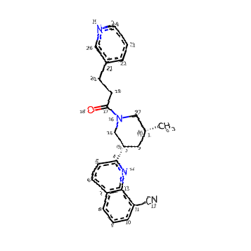 C[C@@H]1C[C@H](c2ccc3cccc(C#N)c3n2)CN(C(=O)CCc2cccnc2)C1